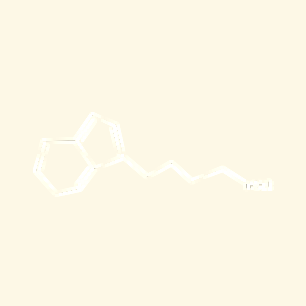 CCCCCCCCCCCCC1=CC=C2C=CCC=C21